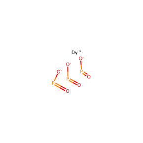 O=P[O-].O=P[O-].O=P[O-].[Dy+3]